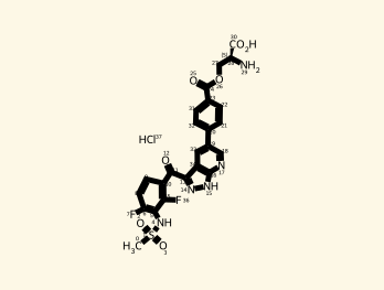 CS(=O)(=O)Nc1c(F)ccc(C(=O)c2n[nH]c3ncc(-c4ccc(C(=O)OC[C@H](N)C(=O)O)cc4)cc23)c1F.Cl